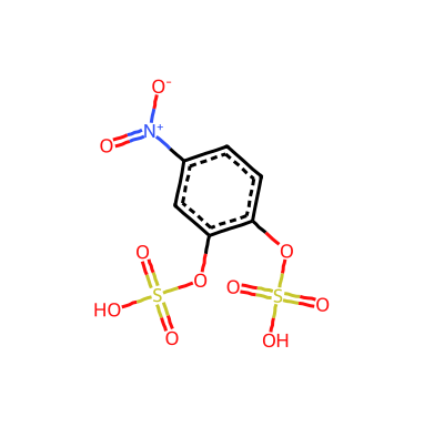 O=[N+]([O-])c1ccc(OS(=O)(=O)O)c(OS(=O)(=O)O)c1